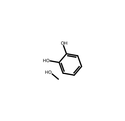 CO.Oc1ccccc1O